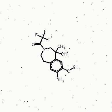 COc1cc2c(cc1N)CCN(C(=O)C(F)(F)F)CC2(C)C